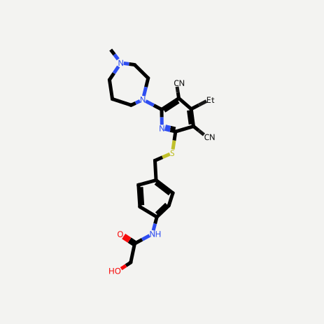 CCc1c(C#N)c(SCc2ccc(NC(=O)CO)cc2)nc(N2CCCN(C)CC2)c1C#N